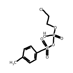 Cc1ccc(S(=O)(=O)OP(=O)(O)OCCCl)cc1